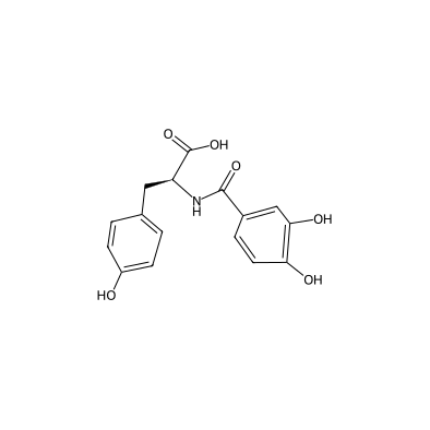 O=C(N[C@@H](Cc1ccc(O)cc1)C(=O)O)c1ccc(O)c(O)c1